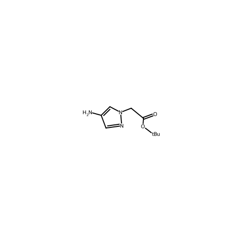 CC(C)(C)OC(=O)Cn1cc(N)cn1